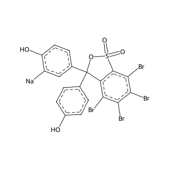 O=S1(=O)OC(c2ccc(O)cc2)(c2ccc(O)[c]([Na])c2)c2c(Br)c(Br)c(Br)c(Br)c21